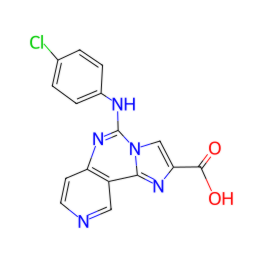 O=C(O)c1cn2c(Nc3ccc(Cl)cc3)nc3ccncc3c2n1